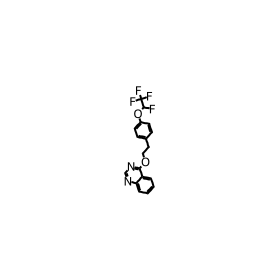 FC(Oc1ccc(CCOc2ncnc3ccccc23)cc1)C(F)(F)F